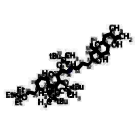 C=C(O)[C@H](C)CC1CC[C@@H]2O[C@@H](CCC/C=C/[C@H](O[Si](C)(C)C(C)(C)C)[C@@H]3O[C@H]4CC[C@H](CCO[Si](CC)(CC)CC)O[C@@H]4C(O[Si](C)(C)C(C)(C)C)C3O[Si](C)(C)C(C)(C)C)CC2(CI)O1